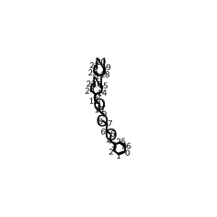 c1ccc(COCCOCCOCC2CCN(c3ccncc3)CC2)cc1